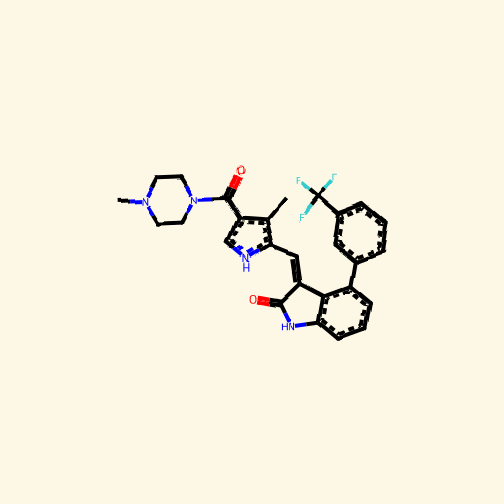 Cc1c(C(=O)N2CCN(C)CC2)c[nH]c1/C=C1\C(=O)Nc2cccc(-c3cccc(C(F)(F)F)c3)c21